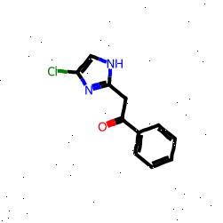 O=C(Cc1nc(Cl)c[nH]1)c1ccccc1